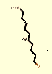 CCCCCCCCCCCCCCCCCBr.[MgH2]